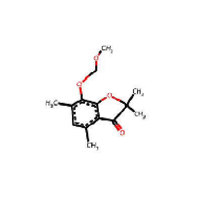 COCOc1c(C)cc(C)c2c1OC(C)(C)C2=O